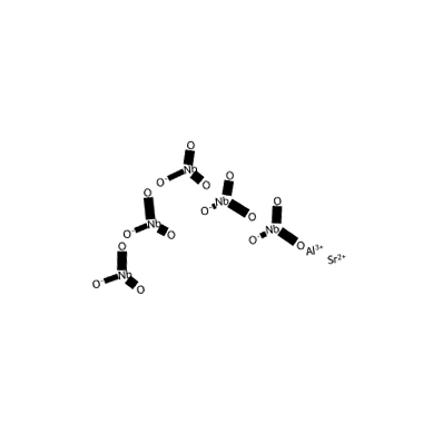 [Al+3].[O]=[Nb](=[O])[O-].[O]=[Nb](=[O])[O-].[O]=[Nb](=[O])[O-].[O]=[Nb](=[O])[O-].[O]=[Nb](=[O])[O-].[Sr+2]